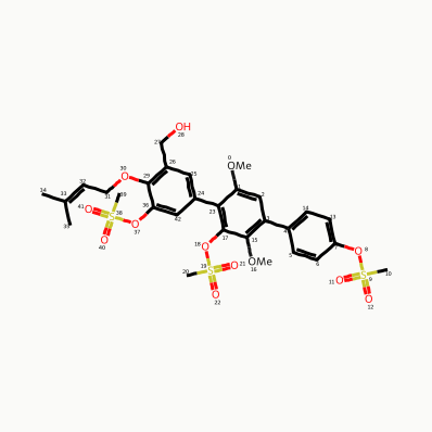 COc1cc(-c2ccc(OS(C)(=O)=O)cc2)c(OC)c(OS(C)(=O)=O)c1-c1cc(CO)c(OCC=C(C)C)c(OS(C)(=O)=O)c1